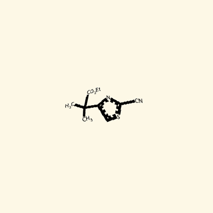 CCOC(=O)C(C)(C)c1csc(C#N)n1